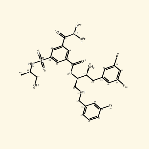 CCCN(CCC)C(=O)c1cc(C(=O)O[C@H](CNCc2cccc(CC)c2)[C@@H](N)Cc2cc(F)cc(F)c2)cc(S(=O)(=O)N[C@H](C)CO)c1